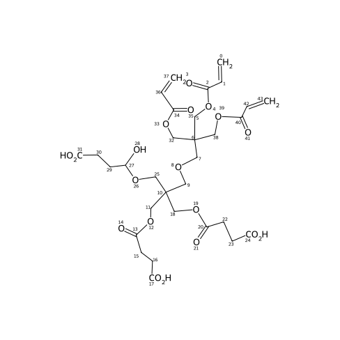 C=CC(=O)OCC(COCC(COC(=O)CCC(=O)O)(COC(=O)CCC(=O)O)COC(O)CCC(=O)O)(COC(=O)C=C)COC(=O)C=C